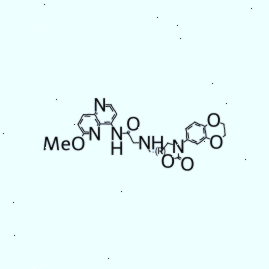 COc1ccc2nccc(NC(=O)CNC[C@@H]3CN(c4ccc5c(c4)OCCO5)C(=O)O3)c2n1